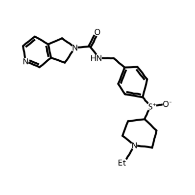 CCN1CCC([S+]([O-])c2ccc(CNC(=O)N3Cc4ccncc4C3)cc2)CC1